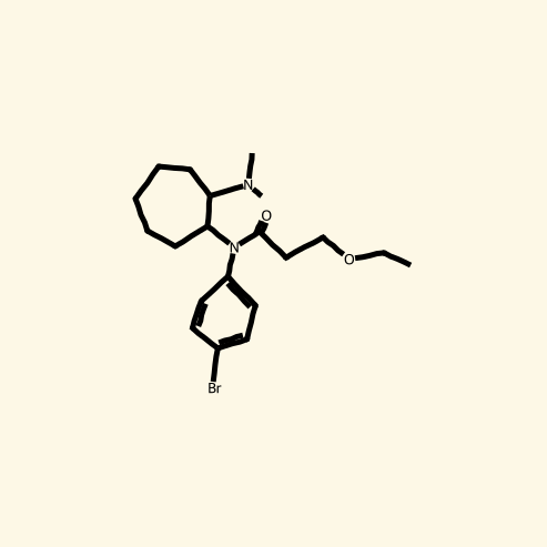 CCOCCC(=O)N(c1ccc(Br)cc1)C1CCCCCC1N(C)C